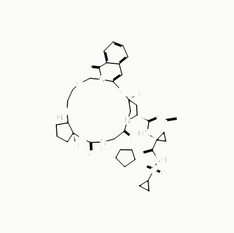 C=C[C@@H]1C[C@]1(NC(=O)[C@@H]1C[C@@H]2CN1C(=O)[C@H](C1CCCC1)NC(=O)O[C@@H]1CCC[C@H]1CCCCCn1c(cc3ccccc3c1=O)O2)C(=O)NS(=O)(=O)C1CC1